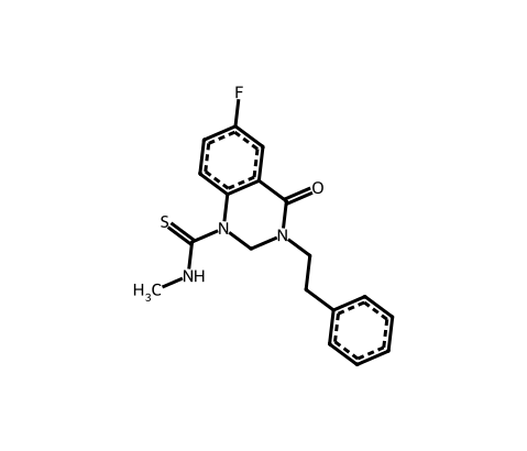 CNC(=S)N1CN(CCc2ccccc2)C(=O)c2cc(F)ccc21